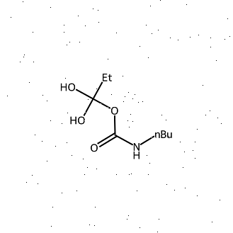 CCCCNC(=O)OC(O)(O)CC